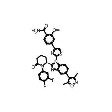 COc1cc(-c2csc(-n3c([C@@H]4CCCC(=O)N4c4ccc(F)c(F)c4)nc4cc(-c5c(C)noc5C)ccc43)n2)ccc1C(N)=O